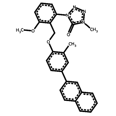 COc1cccc(-n2nnn(C)c2=O)c1COc1ccc(-c2ccc3ccccc3c2)cc1C